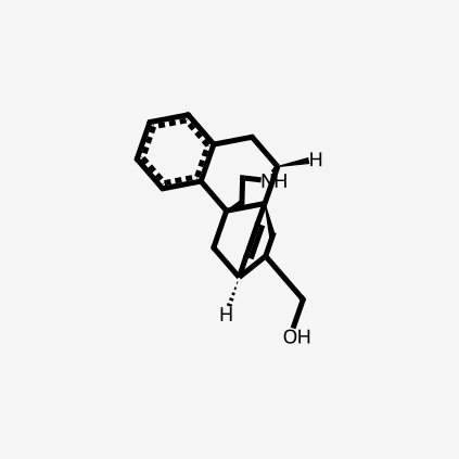 OCC1C[C@@]23C=C[C@@H]1C[C@@]21CCN[C@@H]3Cc2ccccc21